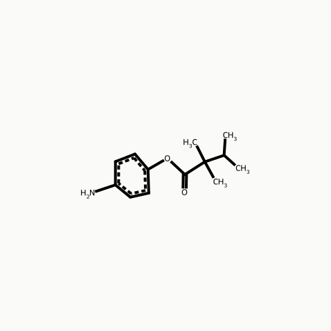 CC(C)C(C)(C)C(=O)Oc1ccc(N)cc1